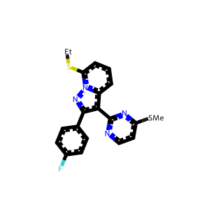 CCSc1cccc2c(-c3nccc(SC)n3)c(-c3ccc(F)cc3)nn12